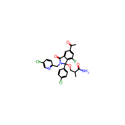 CC(=O)c1cc(F)c2c(c1)C(=O)N(Cc1ccc(Cl)cn1)C2(OCC(C)C(N)=O)c1ccc(Cl)cc1